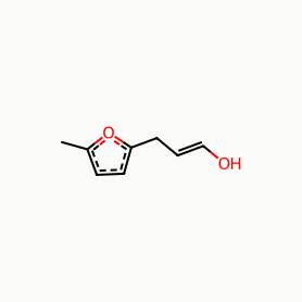 Cc1ccc(CC=CO)o1